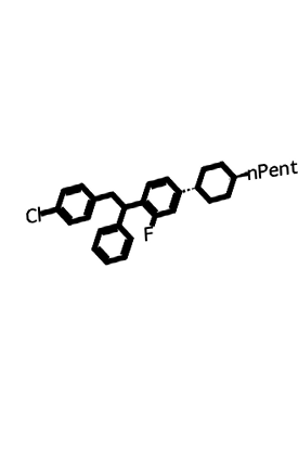 CCCCC[C@H]1CC[C@H](c2ccc(C(Cc3ccc(Cl)cc3)c3ccccc3)c(F)c2)CC1